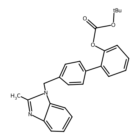 Cc1nc2ccccc2n1Cc1ccc(-c2ccccc2OC(=O)OC(C)(C)C)cc1